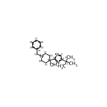 CC(C)(C)c1csc(C2(O)CCN(Cc3ccccc3)CC2)n1